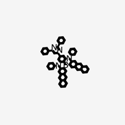 c1ccc(-c2cc(-c3cc4c5c(c3)N(c3ccccc3)c3cc6cc7ccccc7cc6cc3B5c3cc5cc6ccccc6cc5cc3N4c3ccccc3)nc(-c3ccccc3)n2)cc1